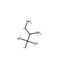 CC(O)(O)C(N)CN